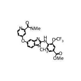 CNC(=O)c1cc(Oc2ccc3c(c2)nc(Nc2ccc(C(=O)OC)cc2OC(F)(F)F)n3C)ccn1